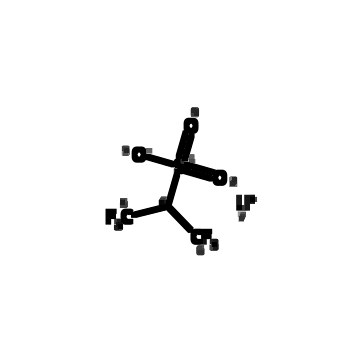 O=S(=O)([O-])C(C(F)(F)F)C(F)(F)F.[Li+]